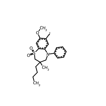 CCCCC1(C)CN(c2ccccc2)c2cc(I)c(OC)cc2S(=O)(=O)C1